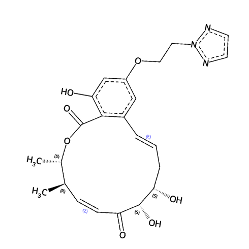 C[C@@H]1/C=C\C(=O)[C@@H](O)[C@@H](O)C/C=C/c2cc(OCCn3nccn3)cc(O)c2C(=O)O[C@H]1C